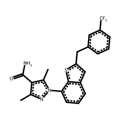 Cc1nn(-c2cccc3cc(Cc4cccc(C(F)(F)F)c4)sc23)c(C)c1C(N)=O